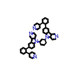 C1=CC(n2c3ccncc3c3cc(-c4ccccc4-c4ccncc4)ccc32)=CC(n2c3ccncc3c3cc(-c4ccccc4-c4ccncc4)ccc32)C1